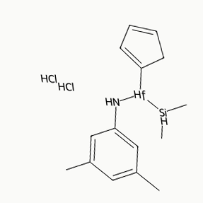 Cc1cc(C)cc([NH][Hf]([C]2=CC=CC2)[SiH](C)C)c1.Cl.Cl